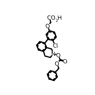 O=C(O)COc1ccc(Cl)c(-c2cccc3c2CN(OC(=O)OCc2ccccc2)CC3)c1